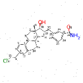 C[C@]12CCC3c4ccc(CCCl)cc4CCC3C1C[C@H](Cc1cccc(C(N)=O)c1)[C@@H]2O